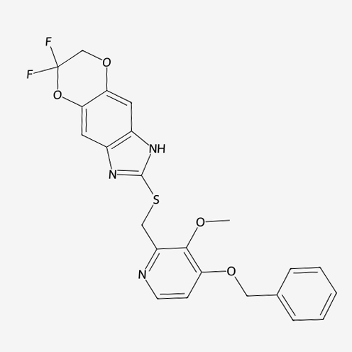 COc1c(OCc2ccccc2)ccnc1CSc1nc2cc3c(cc2[nH]1)OCC(F)(F)O3